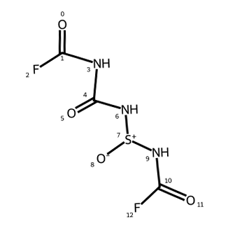 O=C(F)NC(=O)N[S+]([O-])NC(=O)F